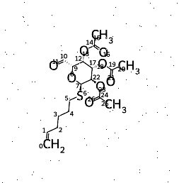 C=CCCCCS[C@H]1O[C@H](C=O)[C@H](OC(C)=O)[C@H](OC(C)=O)[C@H]1OC(C)=O